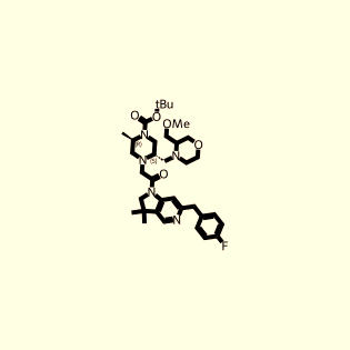 COCC1COCCN1C[C@H]1CN(C(=O)OC(C)(C)C)[C@H](C)CN1CC(=O)N1CC(C)(C)c2cnc(Cc3ccc(F)cc3)cc21